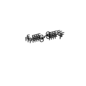 O=C(C=CC(=O)OC(F)(F)C(F)(F)C(F)(F)C(F)(F)C(F)CC(F)(F)F)OC(F)(F)C(F)(F)C(F)(F)C(F)(F)C(F)CC(F)(F)F